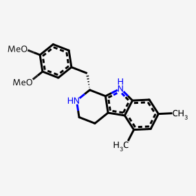 COc1ccc(C[C@H]2NCCc3c2[nH]c2cc(C)cc(C)c32)cc1OC